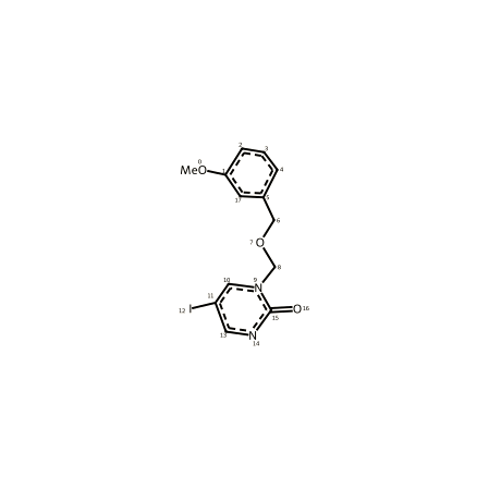 COc1cccc(COCn2cc(I)cnc2=O)c1